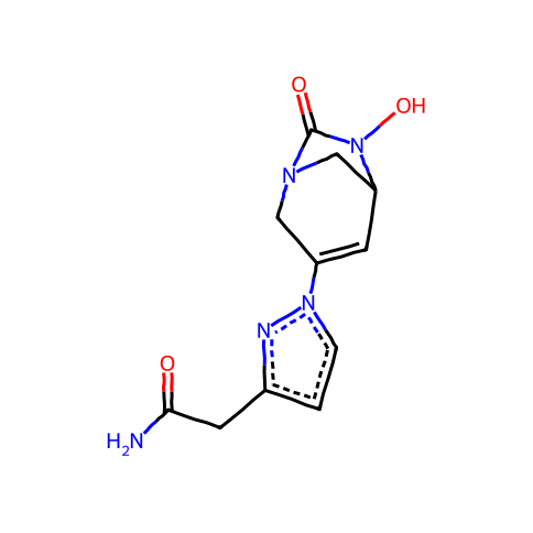 NC(=O)Cc1ccn(C2=CC3CN(C2)C(=O)N3O)n1